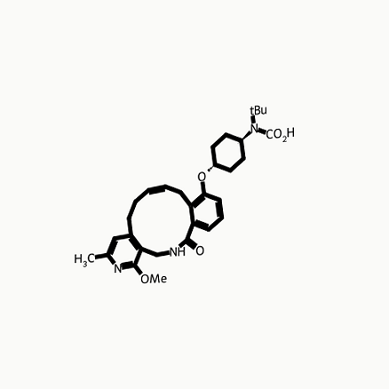 COc1nc(C)cc2c1CNC(=O)c1cccc(O[C@H]3CC[C@H](N(C(=O)O)C(C)(C)C)CC3)c1C/C=C\CC2